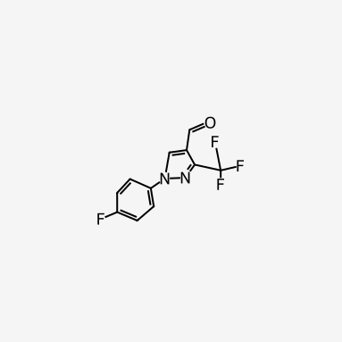 O=Cc1cn(-c2ccc(F)cc2)nc1C(F)(F)F